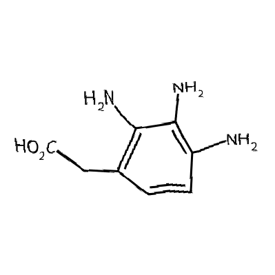 Nc1ccc(CC(=O)O)c(N)c1N